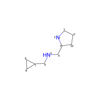 C1C[N]C(CNCC2CC2)C1